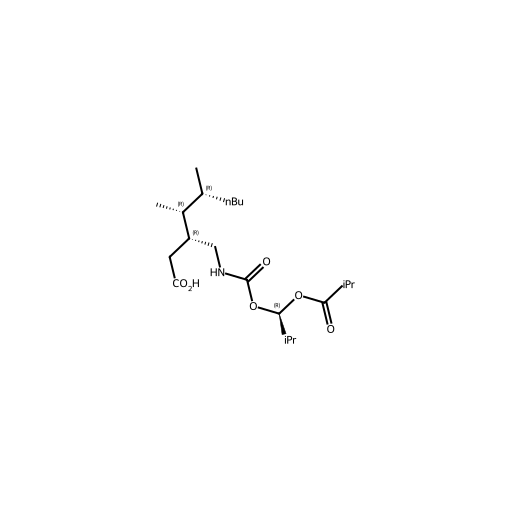 CCCC[C@@H](C)[C@@H](C)[C@H](CNC(=O)O[C@@H](OC(=O)C(C)C)C(C)C)CC(=O)O